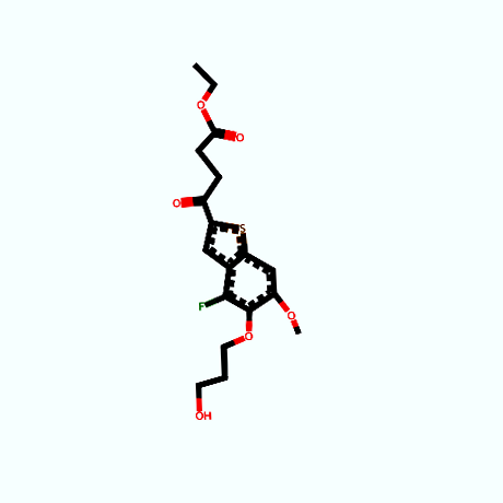 CCOC(=O)CCC(=O)c1cc2c(F)c(OCCCO)c(OC)cc2s1